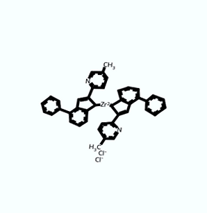 Cc1ccc(C2=Cc3c(-c4ccccc4)cccc3[CH]2[Zr+2][CH]2C(c3ccc(C)cn3)=Cc3c(-c4ccccc4)cccc32)nc1.[Cl-].[Cl-]